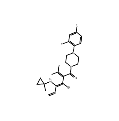 C=N/C(NC1(C)CC1)=C(\CC)C(C(=O)N1CCN(c2ccc(F)cc2F)CC1)=C(C)C